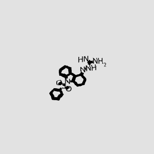 N=C(N)NN=C1CCCc2c1c1ccccc1n2S(=O)(=O)c1ccccc1